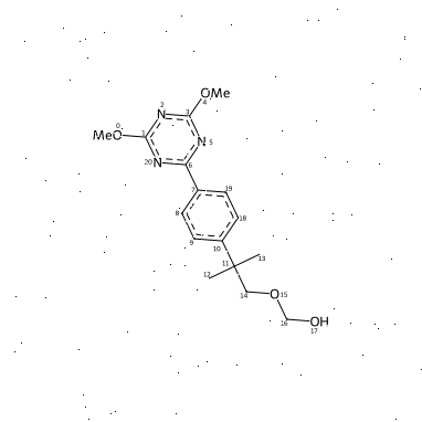 COc1nc(OC)nc(-c2ccc(C(C)(C)COCO)cc2)n1